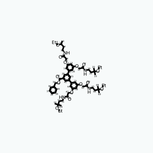 CCOC(C)CCNC(=O)COc1cc(OCC(=O)NCCC(C)(C)OCC)cc(-c2cc(C(=O)OCc3ccccc3)cc(-c3cc(OCC(=O)NCCC(C)(C)OCC)cc(OCC(=O)NCCC(C)(C)OCC)c3)c2)c1